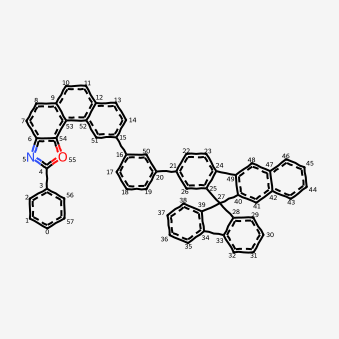 c1ccc(-c2nc3ccc4ccc5ccc(-c6cccc(-c7ccc8c(c7)C7(c9ccccc9-c9ccccc97)c7cc9ccccc9cc7-8)c6)cc5c4c3o2)cc1